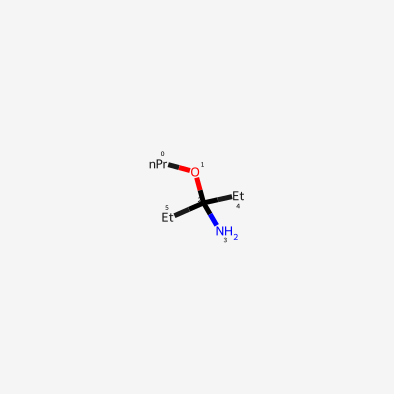 CCCOC(N)(CC)CC